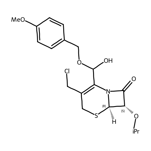 COc1ccc(COC(O)C2=C(CCl)CS[C@@H]3[C@@H](OC(C)C)C(=O)N23)cc1